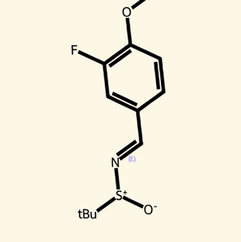 CCOc1ccc(/C=N/[S+]([O-])C(C)(C)C)cc1F